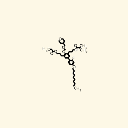 C=C(C)C(=O)OCCCc1cc(-c2ccc(OCCCCCCCCCC)cc2F)cc(CCCOC(=O)CC)c1OCOCC1CCOCC1